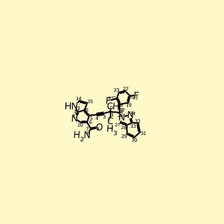 CC(C)(C#Cc1c(C(N)=O)cnc2[nH]ccc12)C(c1cc(F)ccc1F)n1cc2ccccc2n1